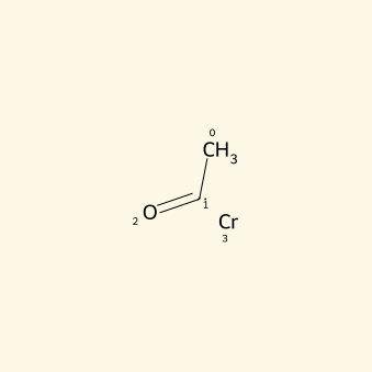 C[C]=O.[Cr]